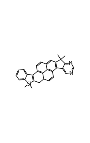 CC1(C)c2cc3ccc4c5c3c(c2-c2cncnc21)C=CC5CC1=C4c2ccccc2[Si]1(C)C